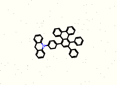 C1=C(c2cc(-c3ccccc3)c(-c3ccccc3)c3c4ccccc4c4ccccc4c23)CCC(N2c3ccccc3Cc3ccccc32)=C1